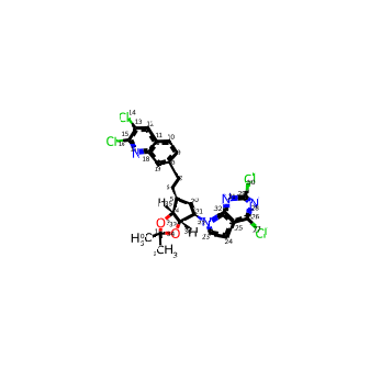 CC1(C)O[C@@H]2[C@@H](CCc3ccc4cc(Cl)c(Cl)nc4c3)C[C@@H](n3ccc4c(Cl)nc(Cl)nc43)[C@@H]2O1